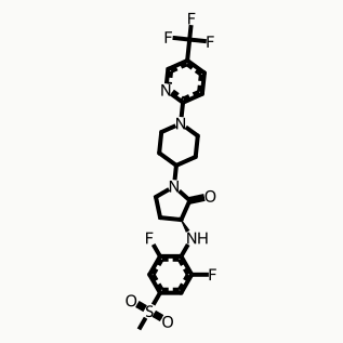 CS(=O)(=O)c1cc(F)c(N[C@H]2CCN(C3CCN(c4ccc(C(F)(F)F)cn4)CC3)C2=O)c(F)c1